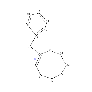 [CH]1CC/C=C(/Cc2ccccn2)CCC1